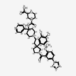 COc1ccc(-n2cnnn2)cc1C(=O)N1CCC(CCN2CCC(NC(=O)N3CCOC(C(=O)O)C3)(c3ccncc3)CC2)(c2ccc(Cl)c(Cl)c2)C1